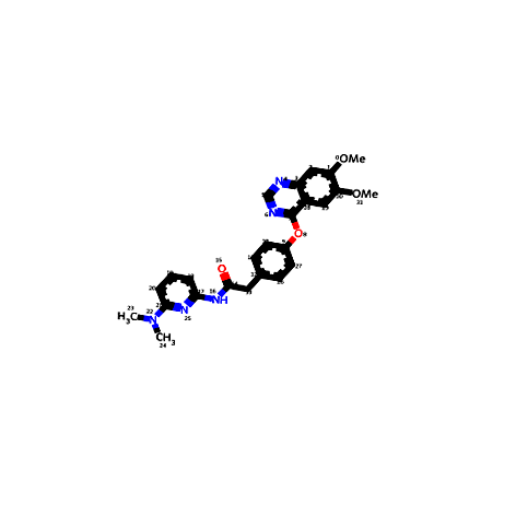 COc1cc2ncnc(Oc3ccc(CC(=O)Nc4cccc(N(C)C)n4)cc3)c2cc1OC